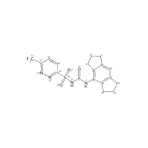 O=C(Nc1c2c(cc3c1CCC3)CCC2)NS(=O)(=O)c1ccc(C(F)(F)F)nn1